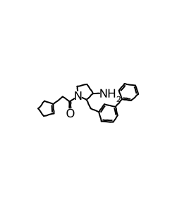 NC1CCN(C(=O)CC2=CCCC2)C1Cc1cccc(-c2ccccc2)c1